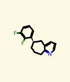 Fc1cccc([C@@H]2CCCc3ncccc3C2)c1F